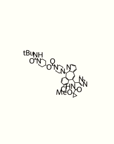 COC1(C(=O)NC(C2=Cc3cccnc3C(N3CCN(C(=O)OC4CCN(C(=O)NC(C)(C)C)CC4)CC3)c3ccc(Cl)cc32)c2cncn2C)CC1